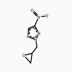 O=[N+]([O-])c1cnn(CC2CO2)n1